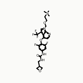 C[Si](C)(C)CCOCn1cc(C(F)(F)F)c2c(Oc3c(F)cc(NC(=O)NCC4COC4)cc3F)ccnc21